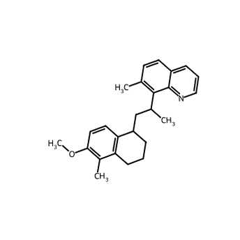 COc1ccc2c(c1C)CCCC2CC(C)c1c(C)ccc2cccnc12